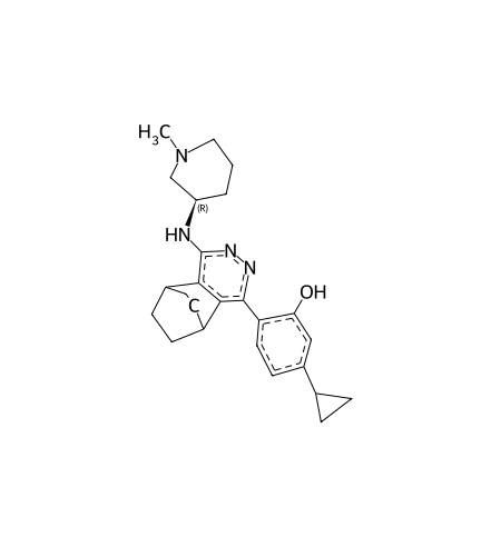 CN1CCC[C@@H](Nc2nnc(-c3ccc(C4CC4)cc3O)c3c2C2CCC3CC2)C1